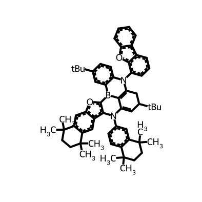 CC(C)(C)c1ccc2c(c1)B1C3=C(CC(C(C)(C)C)C=C3N(c3ccc4c(c3)C(C)(C)CCC4(C)C)c3c1oc1cc4c(cc31)C(C)(C)CCC4(C)C)N2c1cccc2c1oc1ccccc12